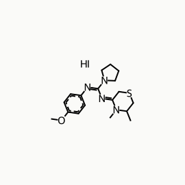 COc1ccc(N=C(N=C2CSCC(C)N2C)N2CCCC2)cc1.I